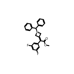 COC(=O)C(=C1CN(C(c2ccccc2)c2ccccc2)C1)c1cc(F)cc(F)c1